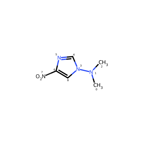 CN(C)n1cnc([N+](=O)[O-])c1